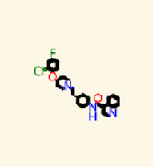 O=C(N[C@H]1CC[C@H](CCN2CCC(Oc3ccc(F)cc3Cl)CC2)CC1)c1ccnc2ccccc12